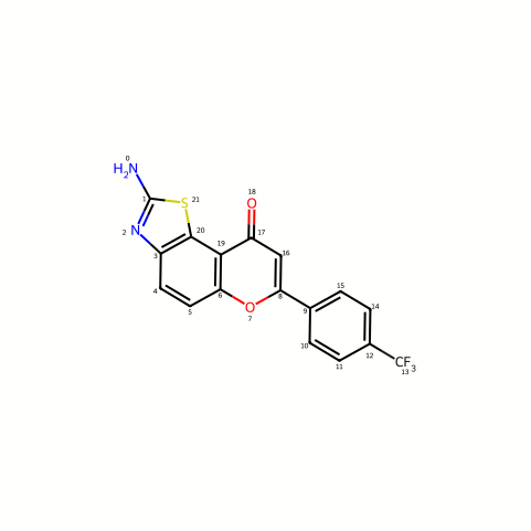 Nc1nc2ccc3oc(-c4ccc(C(F)(F)F)cc4)cc(=O)c3c2s1